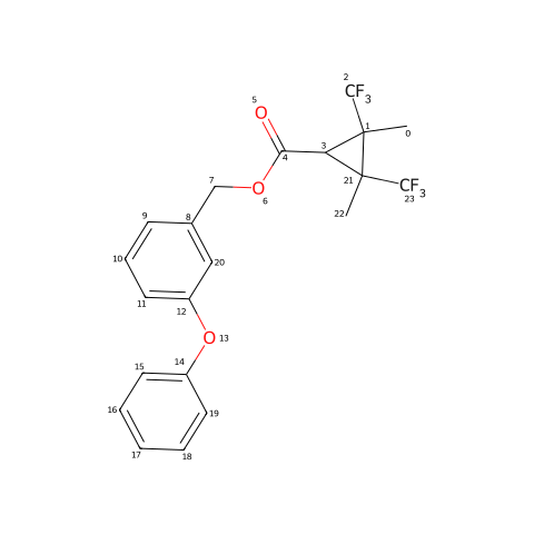 CC1(C(F)(F)F)C(C(=O)OCc2cccc(Oc3ccccc3)c2)C1(C)C(F)(F)F